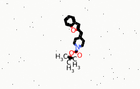 CC(C)(C)OC(=O)N1CCC(=Cc2cc3ccccc3o2)CC1